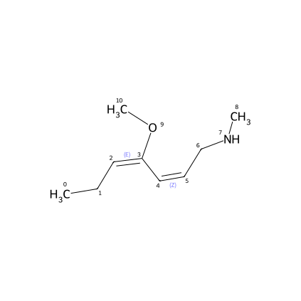 CC/C=C(\C=C/CNC)OC